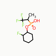 CC(C(F)(F)F)P(=O)(O)OC1CCCCC1F